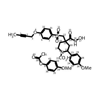 CC#CCOc1ccc(S(=O)(=O)CC2(C(=O)NO)CCN(C(=O)O)C(c3ccc(OC)cc3)C2)cc1.COc1ccc(OC(=O)Cl)cc1